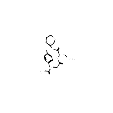 COC[C@H](NC(=O)[C@H](C)OC(N)=O)C(=O)N[C@@]1(Cc2ccc(Cl)cc2)CCCNC1